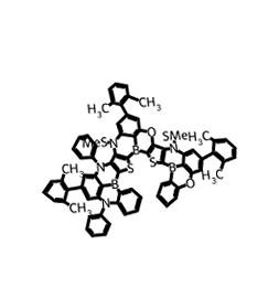 CSN1c2cc(-c3c(C)cccc3C)cc3c2B(c2ccccc2O3)c2sc3c(c21)Oc1cc(-c2c(C)cccc2C)cc2c1B3c1sc3c(c1N2SC)N(c1ccccc1)c1cc(-c2c(C)cccc2C)cc2c1B3c1ccccc1N2c1ccccc1